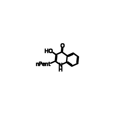 CCCCCc1[nH]c2ccccc2c(=O)c1O